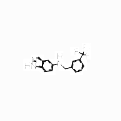 FC(F)(F)c1cccc(CNc2ccc3[nH]ncc3c2)c1